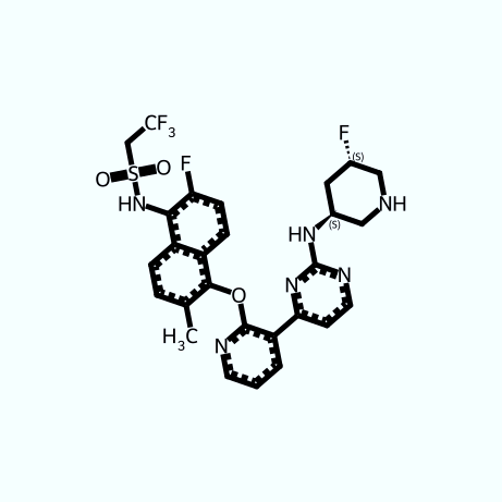 Cc1ccc2c(NS(=O)(=O)CC(F)(F)F)c(F)ccc2c1Oc1ncccc1-c1ccnc(N[C@@H]2CNC[C@@H](F)C2)n1